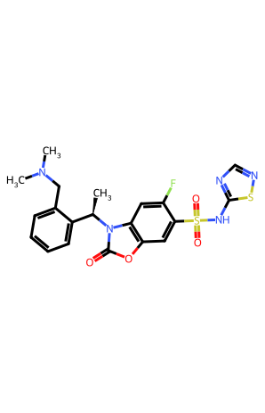 C[C@H](c1ccccc1CN(C)C)n1c(=O)oc2cc(S(=O)(=O)Nc3ncns3)c(F)cc21